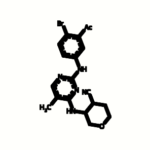 CC(=O)c1cc(Nc2ncc(C)c(NC3COCCC3C#N)n2)ccc1Br